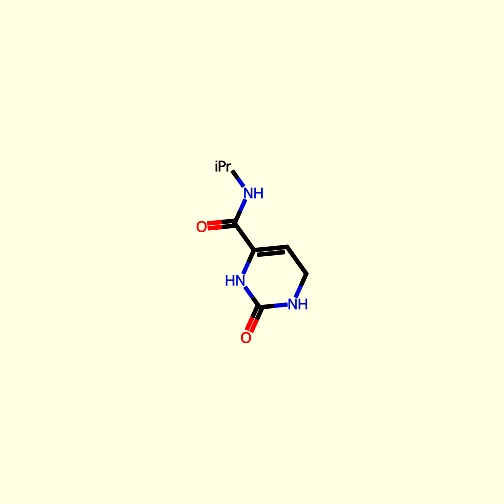 CC(C)NC(=O)C1=CCNC(=O)N1